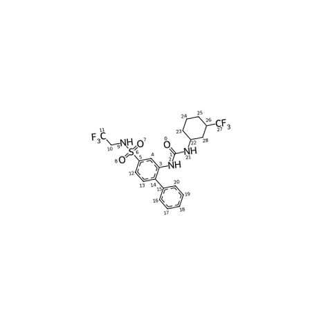 O=C(Nc1cc(S(=O)(=O)NCC(F)(F)F)ccc1-c1ccccc1)NC1CCCC(C(F)(F)F)C1